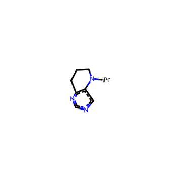 CC(C)N1CCCc2ncncc21